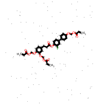 C=CC(=O)OCOc1ccc(-c2ccc(OC(=O)CCc3ccc(OCOC(=O)C=C)c(OCOC(=O)C=C)c3)c(F)c2)cc1